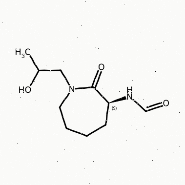 CC(O)CN1CCCC[C@H](NC=O)C1=O